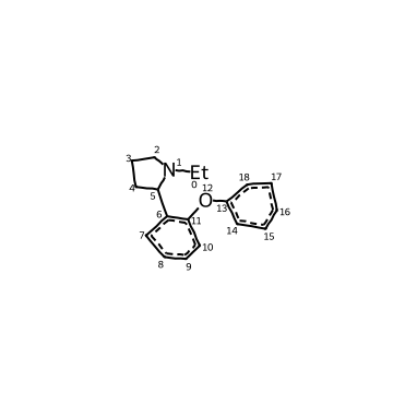 CCN1CCCC1c1ccccc1Oc1ccccc1